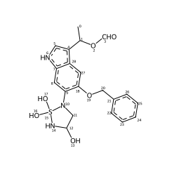 CC(OC=O)c1c[nH]c2cc(N3CC(O)NS3(O)O)c(OCc3ccccc3)cc12